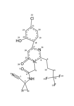 N#CC1(NC(=O)Cn2c(CCCC(F)(F)F)nc(-c3ccc(Cl)cc3O)cc2=O)CC1